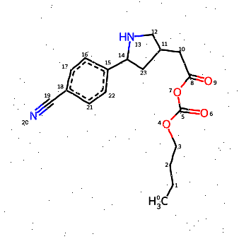 CCCCOC(=O)OC(=O)CC1CNC(c2ccc(C#N)cc2)C1